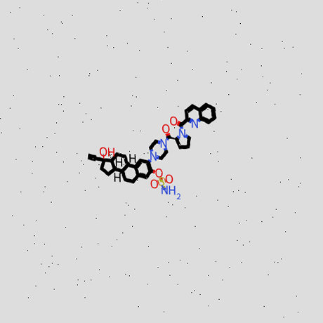 C#C[C@]1(O)CC[C@H]2[C@@H]3CCc4cc(OS(N)(=O)=O)c(N5CCN(C(=O)[C@@H]6CCCN6C(=O)c6ccc7ccccc7n6)CC5)cc4[C@H]3CC[C@@]21C